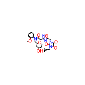 COc1ccccc1N(CC1CC(O)CCO1)C(=O)Cc1noc(CN2C(=O)C(=O)N(CC3CC3)C2=O)n1